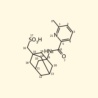 Cc1cccc(C(=O)NC23CC4CC(CC(CS(=O)(=O)O)(C4)C2)C3)n1